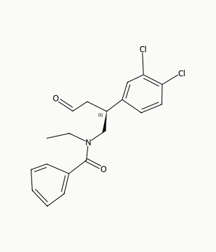 CCN(C[C@@H](CC=O)c1ccc(Cl)c(Cl)c1)C(=O)c1ccccc1